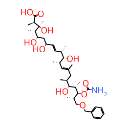 CC(=C[C@H](C)[C@@H](O)[C@@H](C)C=C[C@@H](O)C[C@H](O)[C@H](C)[C@](C)(O)[C@@H](C)C(=O)O)C[C@H](C)[C@@H](O)[C@H](C)[C@@H](OC(N)=O)[C@@H](C)COCc1ccccc1